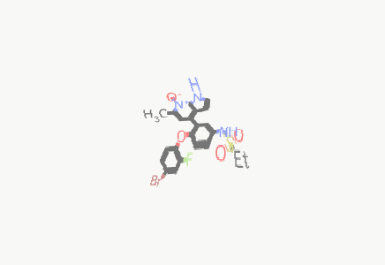 CCS(=O)(=O)Nc1ccc(Oc2ccc(Br)cc2F)c(-c2cc(C)[n+]([O-])c3[nH]ccc23)c1